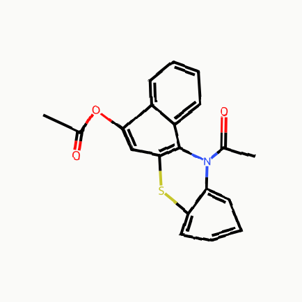 CC(=O)Oc1cc2c(c3ccccc13)N(C(C)=O)c1ccccc1S2